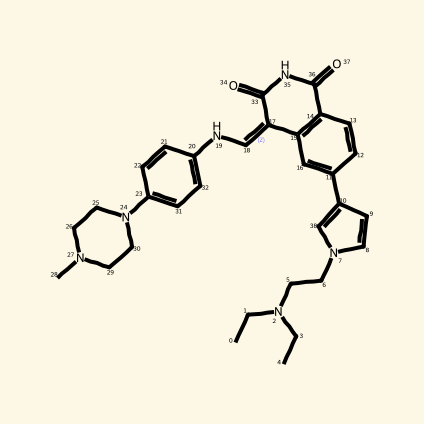 CCN(CC)CCn1ccc(-c2ccc3c(c2)/C(=C/Nc2ccc(N4CCN(C)CC4)cc2)C(=O)NC3=O)c1